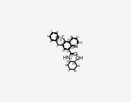 Cc1c(Cc2ccccc2)cc(C(=O)N[C@H]2CCCC[C@@H]2O)c2ncccc12